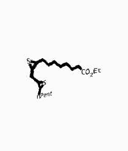 CCCCCC1SC1CC1SC1CCCCCCCC(=O)OCC